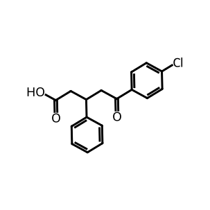 O=C(O)CC(CC(=O)c1ccc(Cl)cc1)c1ccccc1